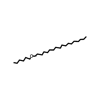 CCCCCCCCCCCCCCCCC[CH]OCCCCCC